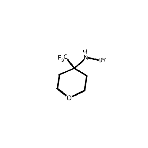 CC(C)NC1(C(F)(F)F)CCOCC1